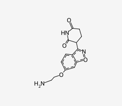 NCCOc1ccc2c(C3CCC(=O)NC3=O)noc2c1